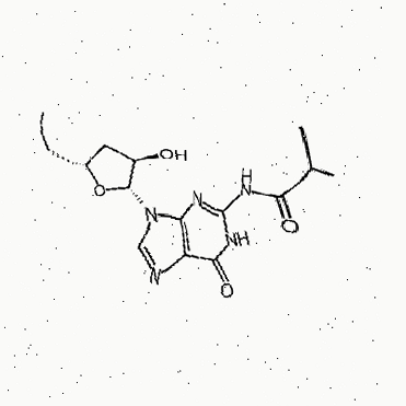 CC(C)C(=O)Nc1nc2c(ncn2[C@@H]2O[C@H](CI)C[C@H]2O)c(=O)[nH]1